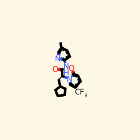 Cc1ccc(NC(=O)[C@H](CC2CCCC2)n2cc(C(F)(F)F)ccc2=O)nc1